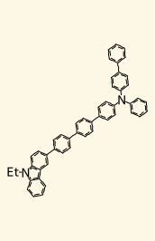 CCn1c2ccccc2c2cc(-c3ccc(-c4ccc(-c5ccc(N(c6ccccc6)c6ccc(-c7ccccc7)cc6)cc5)cc4)cc3)ccc21